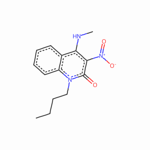 CCCCn1c(=O)c([N+](=O)[O-])c(NC)c2ccccc21